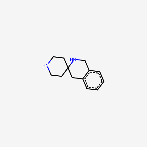 c1ccc2c(c1)CNC1(CCNCC1)C2